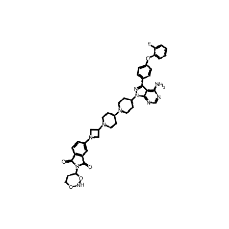 Nc1ncnc2c1c(-c1ccc(Oc3ccccc3F)cc1)nn2C1CCN(C2CCN(C3CN(c4ccc5c(c4)C(=O)N(C4CCONO4)C5=O)C3)CC2)CC1